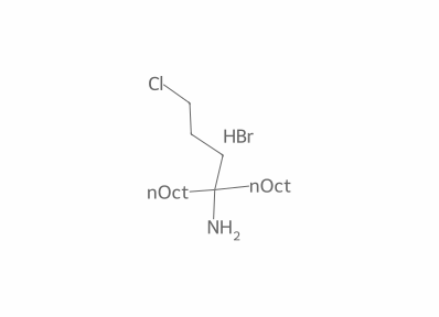 Br.CCCCCCCCC(N)(CCCCl)CCCCCCCC